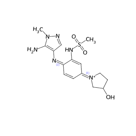 Cn1ncc(/N=C2C=C/C(=[N+]3/CCC(O)C3)C=C/2NS(C)(=O)=O)c1N